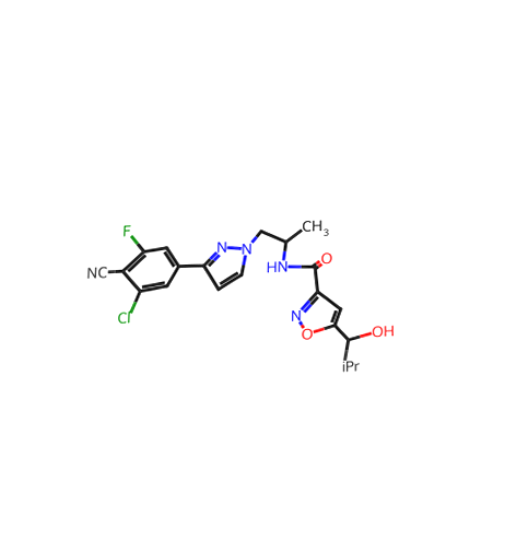 CC(Cn1ccc(-c2cc(F)c(C#N)c(Cl)c2)n1)NC(=O)c1cc(C(O)C(C)C)on1